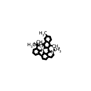 Cc1ccc2c(C)c3c(c(C)c2c1)n1c2c(C(C)(C)C)cccc2c2ccc4cc[n+](C)c3c4c21